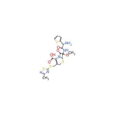 CO[C@@]1(NC(=O)C(N)c2cccs2)C(=O)N2C(C(=O)O)=C(CSc3nc(C)ns3)CSC21